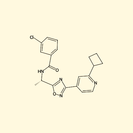 C[C@H](NC(=O)c1cccc(Cl)c1)c1nc(-c2ccnc(C3CCC3)c2)no1